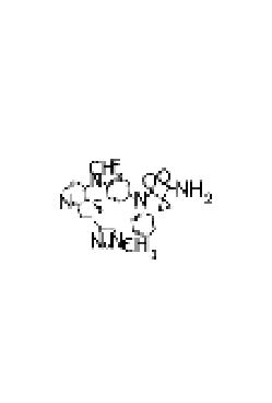 CN(c1ccc(N(C(=O)C2(C(N)=O)CC2)c2ccccc2)cc1F)c1ccnc2cc(-c3cn(C)cn3)sc12